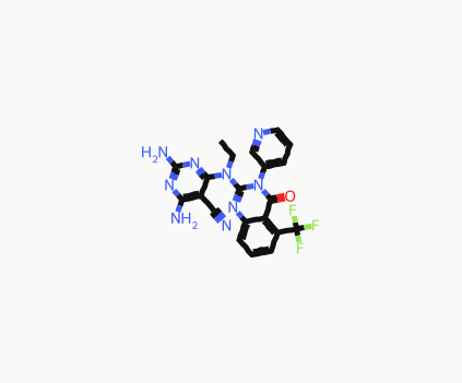 CCN(c1nc(N)nc(N)c1C#N)c1nc2cccc(C(F)(F)F)c2c(=O)n1-c1cccnc1